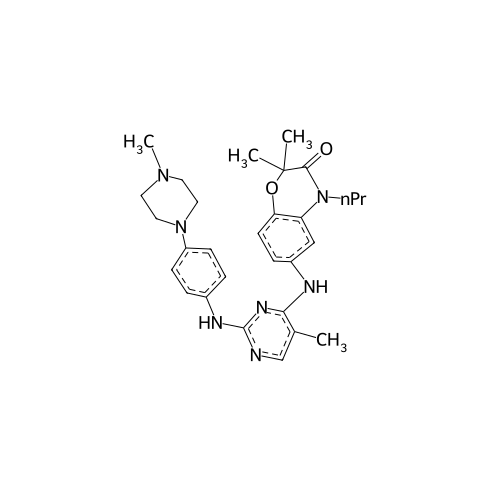 CCCN1C(=O)C(C)(C)Oc2ccc(Nc3nc(Nc4ccc(N5CCN(C)CC5)cc4)ncc3C)cc21